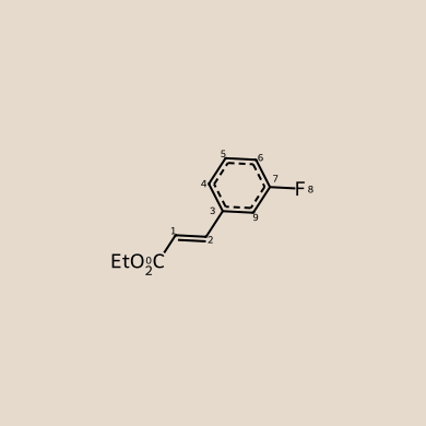 CCOC(=O)C=Cc1cccc(F)c1